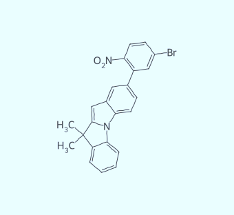 CC1(C)c2ccccc2-n2c1cc1cc(-c3cc(Br)ccc3[N+](=O)[O-])ccc12